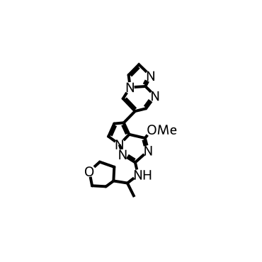 COc1nc(NC(C)C2CCOCC2)nn2ccc(-c3cnc4nccn4c3)c12